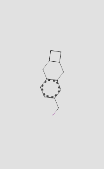 ICc1ccc2c(c1)CC1CCC1C2